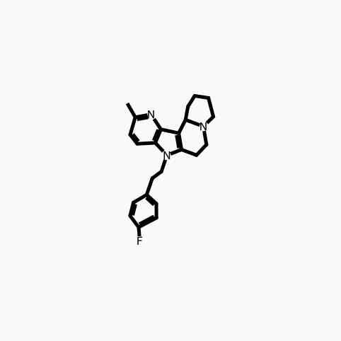 Cc1ccc2c(n1)c1c(n2CCc2ccc(F)cc2)CCN2CCCCC12